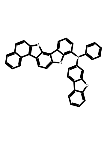 c1ccc(N(c2ccc3c(c2)oc2ccccc23)c2cccc3c2oc2ccc4c(sc5ccc6ccccc6c54)c23)cc1